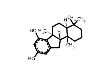 CC1(C)CCC[C@@]2(C)[C@H]1CC[C@]1(C)c3c(O)cc(O)cc3C[C@@H]21